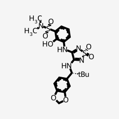 CN(C)S(=O)(=O)c1cccc(NC2=NS(=O)(=O)N=C2N[C@@H](c2ccc3c(c2)OCO3)C(C)(C)C)c1O